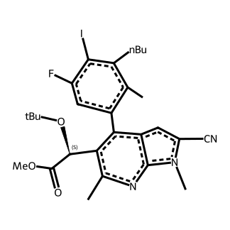 CCCCc1c(C)c(-c2c([C@H](OC(C)(C)C)C(=O)OC)c(C)nc3c2cc(C#N)n3C)cc(F)c1I